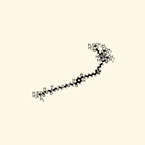 CC(C)(C)OC(=O)CC[C@H](NC(=O)N[C@@H](CCCCn1cc(CCCCCCNC(=O)c2ccc(C(=O)NCCOCCOCCOCCNC(=O)CONC(=O)OC(C)(C)C)cc2)nn1)C(=O)OC(C)(C)C)C(=O)OC(C)(C)C